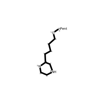 CCCCCOCCCCC1CNCC[N]1